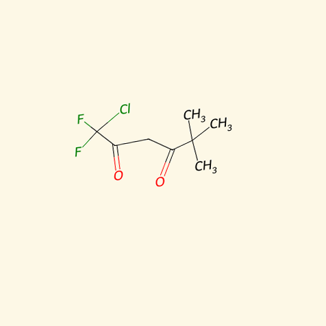 CC(C)(C)C(=O)CC(=O)C(F)(F)Cl